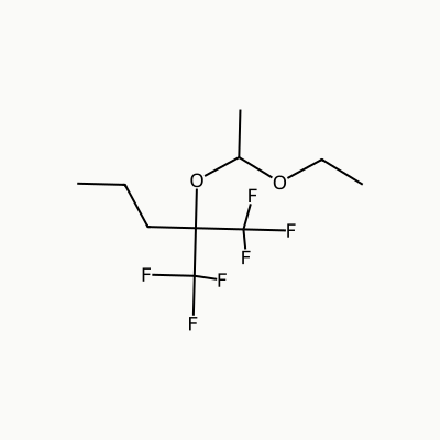 CCCC(OC(C)OCC)(C(F)(F)F)C(F)(F)F